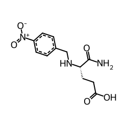 NC(=O)[C@H](CCC(=O)O)NCc1ccc([N+](=O)[O-])cc1